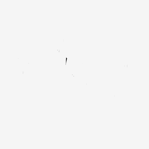 Cc1ccc(S(=O)(=O)N2CC=C[C@H]2C(=O)N(C)C2CCC(F)(F)CC2)c(-c2ccccc2F)c1